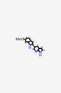 COc1ccc2cc(-c3cnc4[nH]ccc4c3)[nH]c2c1